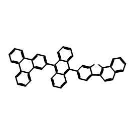 c1ccc2c(c1)ccc1c3ccc(-c4c5ccccc5c(-c5ccc6c7ccccc7c7ccccc7c6c5)c5ccccc45)cc3sc21